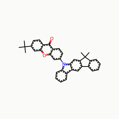 CC(C)(C)c1ccc2c(=O)c3ccc(-n4c5ccccc5c5cc6c(cc54)C(C)(C)c4ccccc4-6)cc3oc2c1